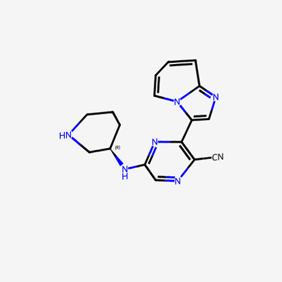 N#Cc1ncc(N[C@@H]2CCCNC2)nc1-c1cnc2ccccn12